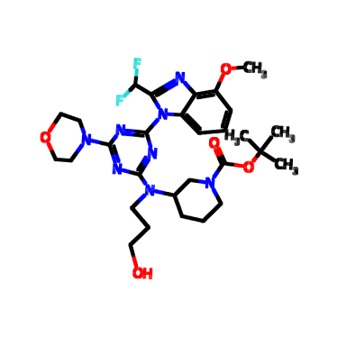 COc1cccc2c1nc(C(F)F)n2-c1nc(N2CCOCC2)nc(N(CCCO)C2CCCN(C(=O)OC(C)(C)C)C2)n1